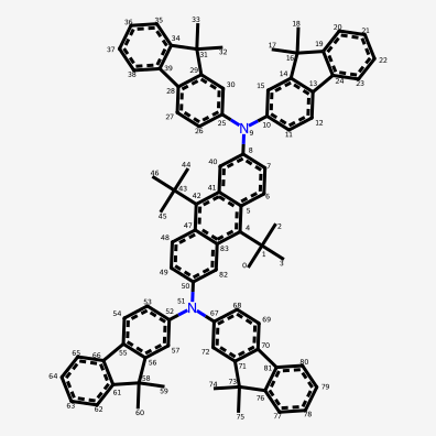 CC(C)(C)c1c2ccc(N(c3ccc4c(c3)C(C)(C)c3ccccc3-4)c3ccc4c(c3)C(C)(C)c3ccccc3-4)cc2c(C(C)(C)C)c2ccc(N(c3ccc4c(c3)C(C)(C)c3ccccc3-4)c3ccc4c(c3)C(C)(C)c3ccccc3-4)cc12